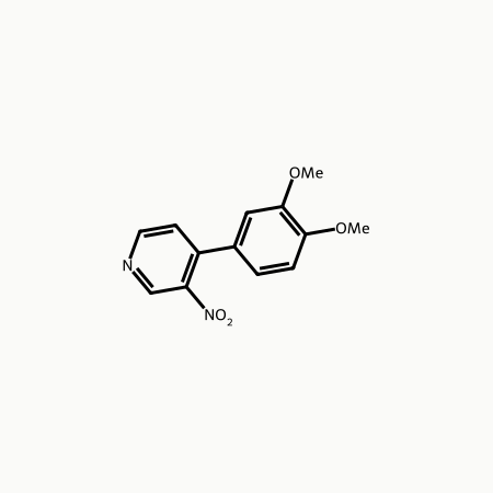 COc1ccc(-c2ccncc2[N+](=O)[O-])cc1OC